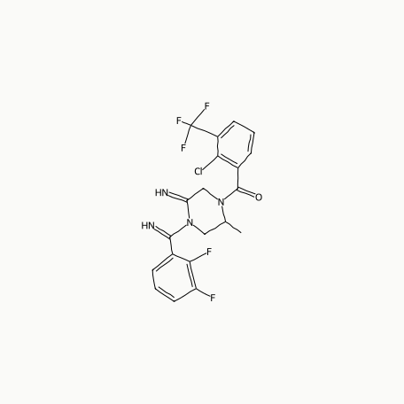 CC1CN(C(=N)c2cccc(F)c2F)C(=N)CN1C(=O)c1cccc(C(F)(F)F)c1Cl